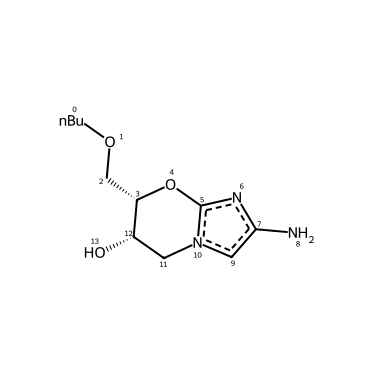 CCCCOC[C@@H]1Oc2nc(N)cn2C[C@@H]1O